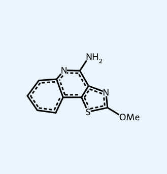 COc1nc2c(N)nc3ccccc3c2s1